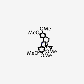 COc1cc2c(cc1OC)/C(=C/c1cc(OC)c(OC)c(OC)c1)N(C(=O)C1CC1)CC2